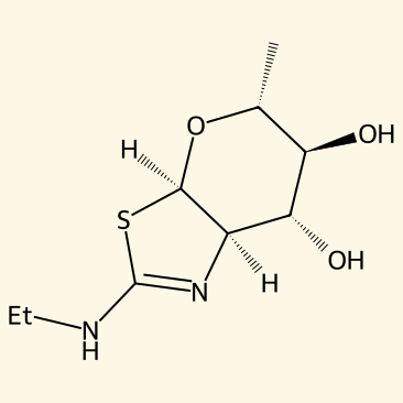 CCNC1=N[C@@H]2[C@@H](O)[C@H](O)[C@@H](C)O[C@@H]2S1